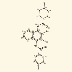 Cc1ccc(C(=O)Oc2c(F)c(F)c(OC(=O)C3CCC(C)CC3)c3ccccc23)cc1